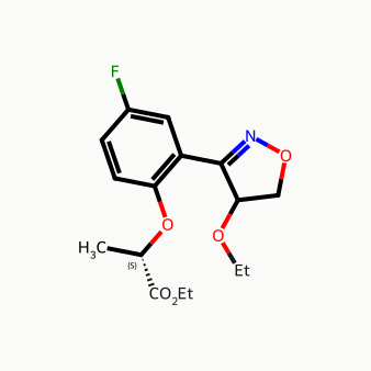 CCOC(=O)[C@H](C)Oc1ccc(F)cc1C1=NOCC1OCC